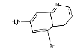 Nc1cc(Br)c2cccnc2c1